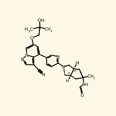 CC(C)(O)COc1cc(-c2ccc(N3C[C@@H]4CC(C)(NC=O)C[C@@H]4C3)nc2)c2c(C#N)cnn2c1